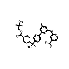 Cc1cc(Nc2cc(C(F)F)ccn2)nc(-c2ccc([C@](C)(O)[C@H]3CC[C@H](C(=O)OCC(C)(C)O)CC3)nc2)c1